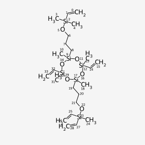 C=C[Si](C)(C)OCCC[Si]1(C)O[Si](C)(C=C)O[Si](C)(CCCO[Si](C)(C=C)C=C)O[Si](C)(C=C)O1